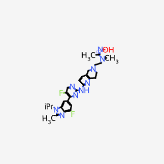 C/C(=N/O)N(C)CCN1CCc2nc(Nc3ncc(F)c(-c4cc(F)c5nc(C)n(C(C)C)c5c4)n3)ccc2C1